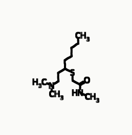 CCCCCC(CCN(C)C)SCC(=O)NC